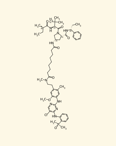 CC[C@@H](C)C(=O)N[C@H](C(=O)N1C[C@@H](NC(=O)CCCCCCCC(=O)N(C)CCc2cc(OC)c(Nc3ncc(Cl)c(Nc4ccccc4P(C)(C)=O)n3)cc2C)C[C@H]1C(=O)N[C@H](CC)c1ccccc1)C(C)(C)C